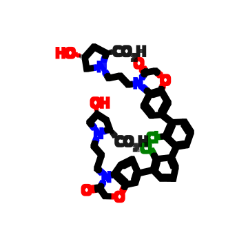 O=C(O)[C@@H]1C[C@@H](O)CN1CCCN1C(=O)COc2cc(-c3cccc(-c4cccc(-c5ccc6c(c5)OCC(=O)N6CCCN5C[C@H](O)C[C@H]5C(=O)O)c4Cl)c3Cl)ccc21